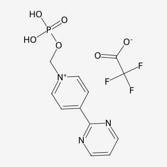 O=C([O-])C(F)(F)F.O=P(O)(O)OC[n+]1ccc(-c2ncccn2)cc1